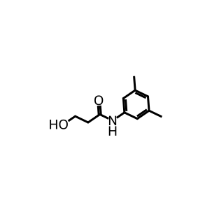 Cc1cc(C)cc(NC(=O)CCO)c1